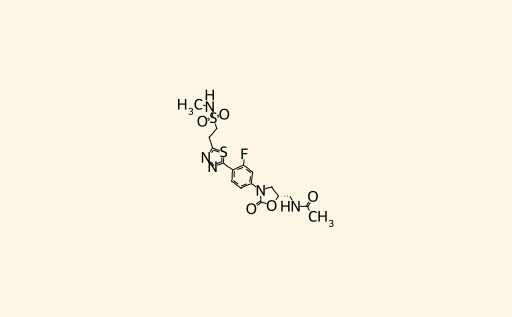 CNS(=O)(=O)CCc1nnc(-c2ccc(N3C[C@H](CNC(C)=O)OC3=O)cc2F)s1